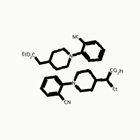 CCC(C(=O)O)C1CCN(c2ccccc2C#N)CC1.CCOC(=O)CC1CCN(c2ccccc2C#N)CC1